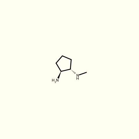 CN[C@H]1CCC[C@@H]1N